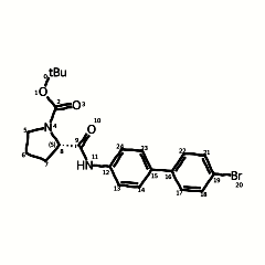 CC(C)(C)OC(=O)N1CCC[C@H]1C(=O)Nc1ccc(-c2ccc(Br)cc2)cc1